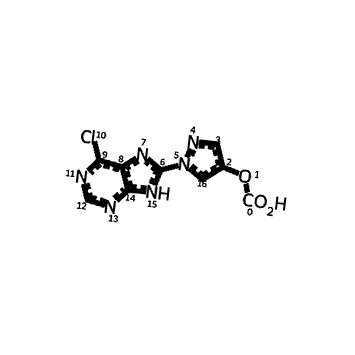 O=C(O)Oc1cnn(-c2nc3c(Cl)ncnc3[nH]2)c1